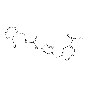 CC(=O)c1cccc(Cn2cc(NC(=O)OCc3ccccc3Cl)cn2)n1